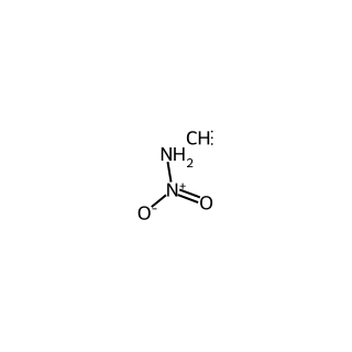 N[N+](=O)[O-].[CH]